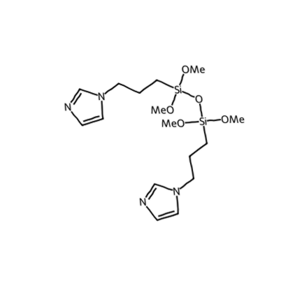 CO[Si](CCCn1ccnc1)(OC)O[Si](CCCn1ccnc1)(OC)OC